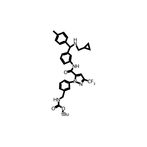 Cc1ccc(C(NCC2CC2)c2cccc(NC(=O)c3cc(C(F)(F)F)nn3-c3cccc(CNC(=O)OC(C)(C)C)c3)c2)cc1